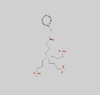 O=C(CCC[N+](CCCS(=O)(=O)[O-])(CCCS(=O)(=O)O)CCCS(=O)(=O)O)OCc1ccccc1